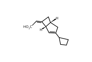 O=C(O)/C=C1/C[C@@H]2CC(C3CCC3)=C[C@H]12